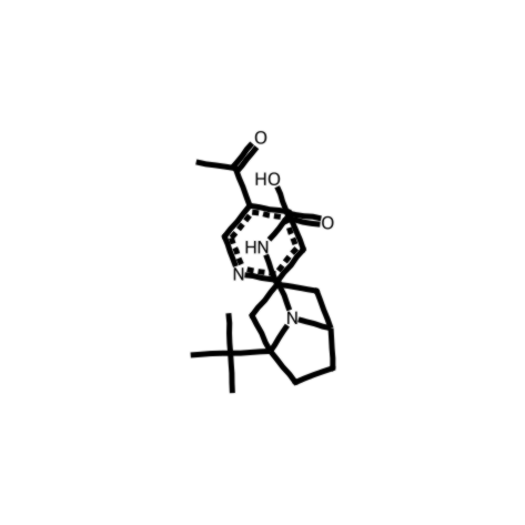 CC(=O)c1ccc(N2C3CCC2(C(C)(C)C)CC(NC(=O)O)C3)nc1